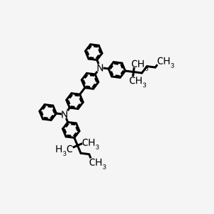 CCCCC(C)(C)c1ccc(N(c2ccccc2)c2ccc(-c3ccc(N(c4ccccc4)c4ccc(C(C)(C)CCC)cc4)cc3)cc2)cc1